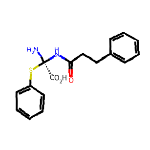 N[C@@](NC(=O)CCc1ccccc1)(Sc1ccccc1)C(=O)O